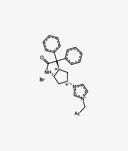 CC(=O)C[n+]1ccn([C@@H]2CC[C@@H](C(C(N)=O)(c3ccccc3)c3ccccc3)C2)c1.[Br-]